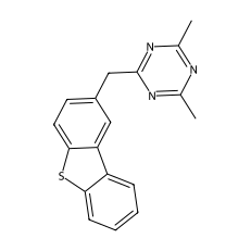 Cc1nc(C)nc(Cc2ccc3sc4ccccc4c3c2)n1